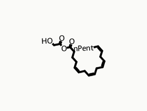 CCCCC/C=C\C/C=C\C/C=C\C/C=C\CCCC(=O)OC(=O)CO